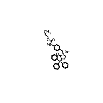 C=CCOC(=O)Nc1ccc(CN2CCC([P+](c3ccccc3)(c3ccccc3)c3ccccc3)C2=O)cc1.[Br-]